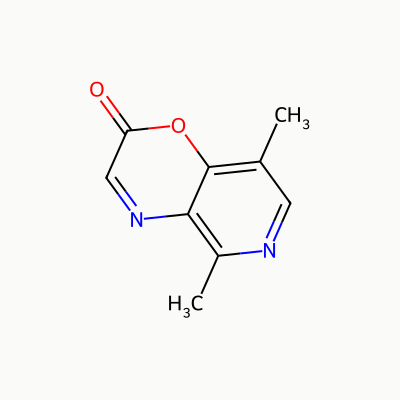 Cc1ncc(C)c2oc(=O)cnc12